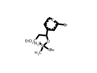 CCOC(=O)CC(O[Si](C)(C)C(C)(C)C)c1cccc(Br)c1